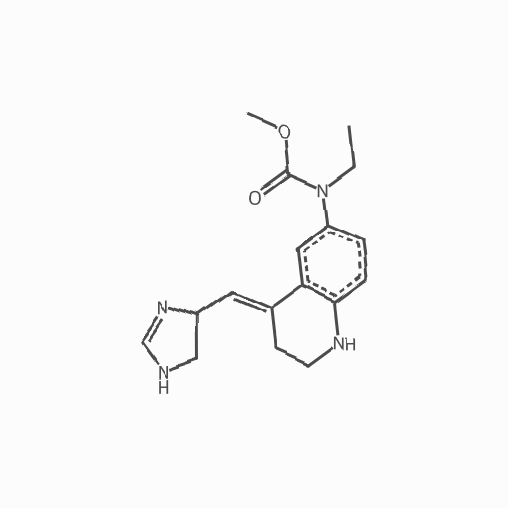 CCN(C(=O)OC)c1ccc2c(c1)/C(=C/C1CNC=N1)CCN2